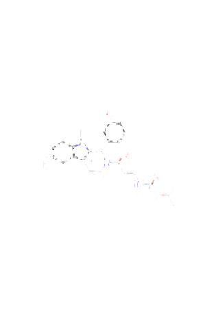 CC(C)OC(=O)NCCC(=O)N1CCc2c([nH]c3ccc(Cl)cc23)C1c1cccc(O)c1